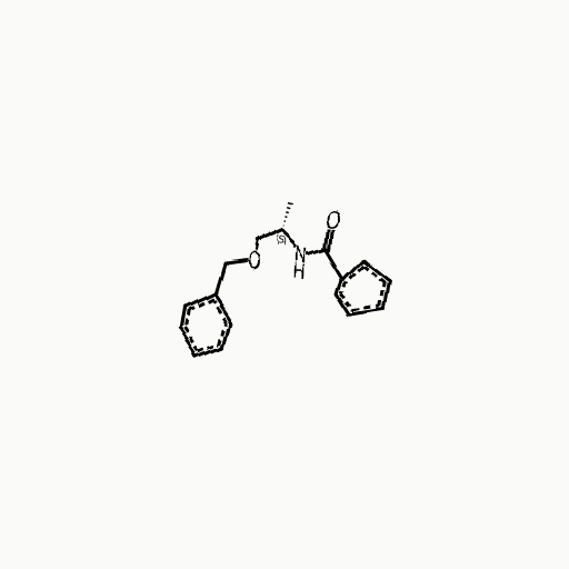 C[C@@H](COCc1ccccc1)NC(=O)c1ccccc1